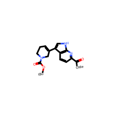 COC(=O)c1ccc2c(C3=CCCN(C(=O)OC(C)(C)C)C3)c[nH]c2n1